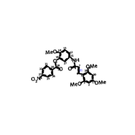 COc1cc(OC)c(/C=C/C(=O)Nc2ccc(OC)c(OC(=O)c3ccc([N+](=O)[O-])cc3)c2)c(OC)c1